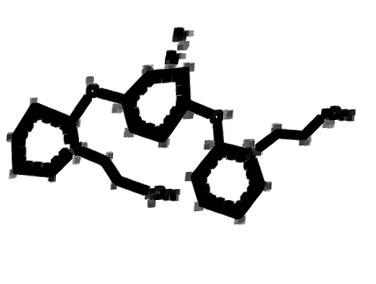 CCCCCCCCCCCC[n+]1ccccc1Oc1ccc(Oc2cccc[n+]2CCCCCCCCCCCC)cc1.[Br-].[Br-]